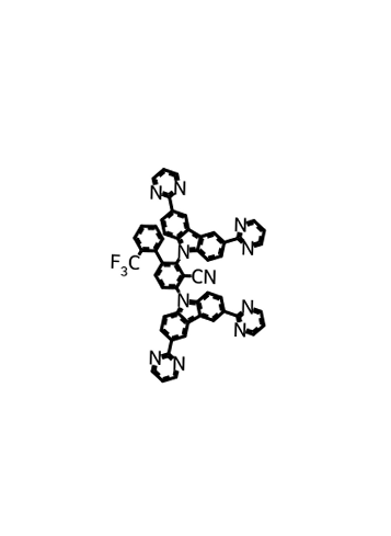 N#Cc1c(-n2c3ccc(-c4ncccn4)cc3c3cc(-c4ncccn4)ccc32)ccc(-c2ccccc2C(F)(F)F)c1-n1c2ccc(-c3ncccn3)cc2c2cc(-c3ncccn3)ccc21